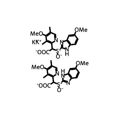 COc1ccc2[nH]c([S+]([O-])C(C(=O)[O-])c3ncc(C)c(OC)c3C)nc2c1.COc1ccc2nc([S+]([O-])C(C(=O)[O-])c3ncc(C)c(OC)c3C)[nH]c2c1.[K+].[K+]